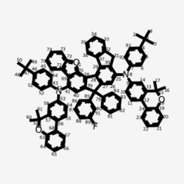 CC(C)(C)c1ccc(N(c2ccc3c(c2)C(C)(C)Oc2ccccc2-3)c2cc3c(c4c2Cc2ccccc2-4)-c2c(cc(N(c4ccc(C(C)(C)C)cc4)c4ccc5c(c4)C(C)(C)Oc4ccccc4-5)c4c2oc2ccccc24)C3(c2ccccc2)c2cccc(F)c2)cc1